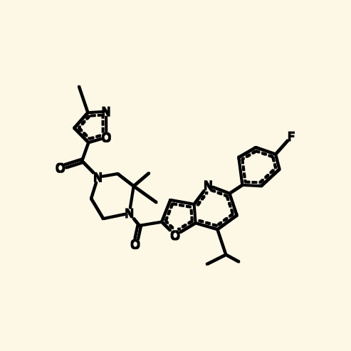 Cc1cc(C(=O)N2CCN(C(=O)c3cc4nc(-c5ccc(F)cc5)cc(C(C)C)c4o3)C(C)(C)C2)on1